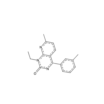 CCn1c(=O)nc(-c2cccc(C)c2)c2ccc(C)nc21